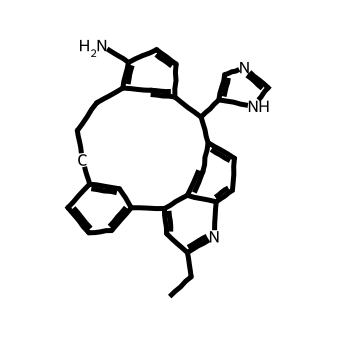 CCc1cc2c3cc(ccc3n1)C(c1cnc[nH]1)c1ccc(N)c(c1)CCCc1cccc-2c1